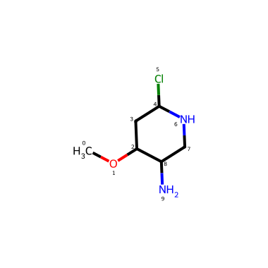 COC1CC(Cl)NCC1N